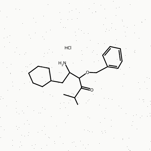 CC(C)C(=O)C(OCc1ccccc1)C(N)CC1CCCCC1.Cl